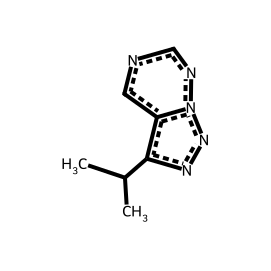 CC(C)c1nnn2ncncc12